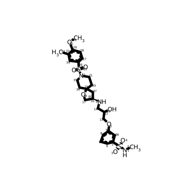 CNS(=O)(=O)c1cccc(OCC(O)CN[C@H]2COC3(CCN(S(=O)(=O)c4ccc(OC)c(C)c4)CC3)C2)c1